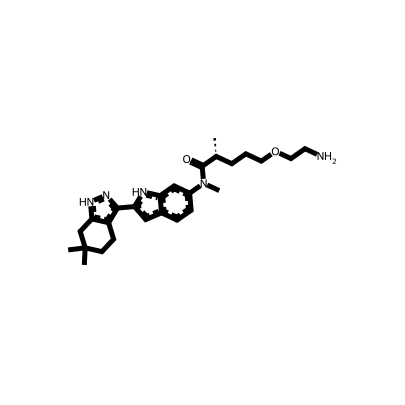 C[C@H](CCCOCCN)C(=O)N(C)c1ccc2cc(-c3n[nH]c4c3CCC(C)(C)C4)[nH]c2c1